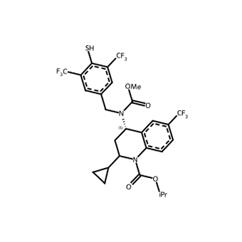 COC(=O)N(Cc1cc(C(F)(F)F)c(S)c(C(F)(F)F)c1)[C@H]1CC(C2CC2)N(C(=O)OC(C)C)c2ccc(C(F)(F)F)cc21